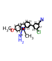 COC1CCC2(CC1)Cc1ccc(-c3cc(Cl)cc(C#N)c3)cc1[C@@]21N=C(C)C(N)=N1